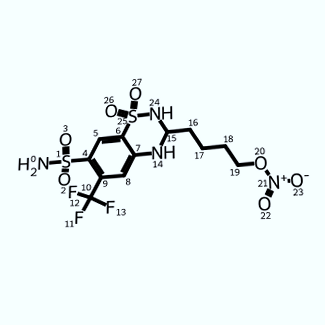 NS(=O)(=O)c1cc2c(cc1C(F)(F)F)NC(CCCCO[N+](=O)[O-])NS2(=O)=O